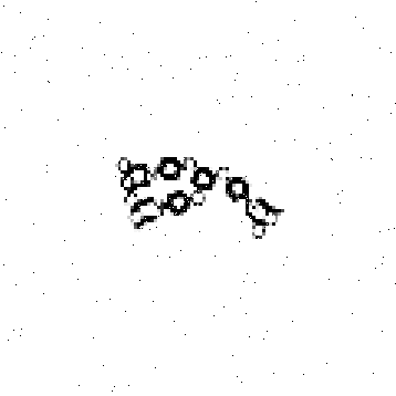 c1cc(N(CC2CO2)CC2CO2)ccc1Oc1cc(Oc2ccc(N(CC3CO3)CC3CO3)cc2)cc(Oc2ccc(N(CC3CO3)CC3CO3)cc2)c1